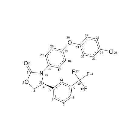 O=C1OC[C@H](c2cccc(C(F)(F)F)c2)N1c1ccc(Oc2ccc(Cl)cc2)cc1